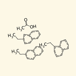 CC(=O)O.CCc1ccc2ccccc2c1.CCc1ccc2ccccc2c1.CCc1cccc2ccccc12